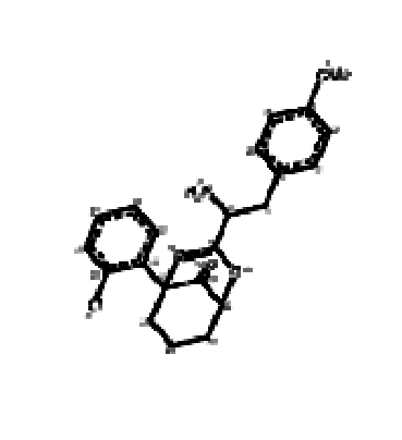 COc1ccc(CC(N)C2=NC3(c4ccccc4Cl)CCCC(O2)C3=O)cc1